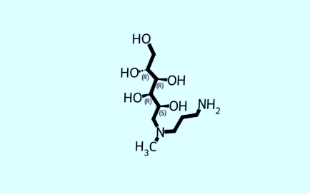 CN(CCCN)C[C@H](O)[C@@H](O)[C@H](O)[C@H](O)CO